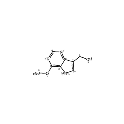 CCCCOc1ncnc2c(CO)c[nH]c12